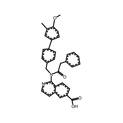 COc1ccc(-c2ccc(CN(C(=O)Cc3ccccc3)c3nccc4cc(C(=O)O)ccc34)cc2)cc1C